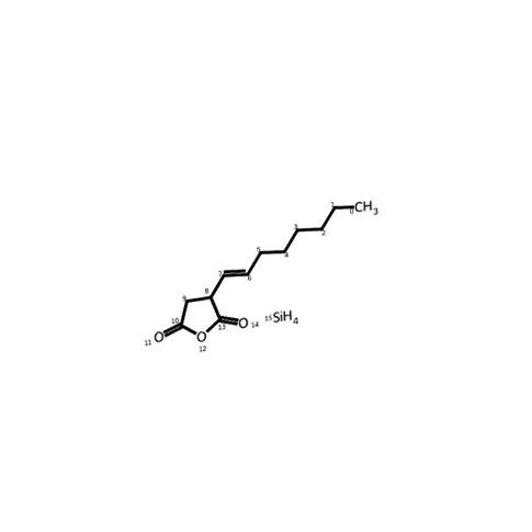 CCCCCCC=CC1CC(=O)OC1=O.[SiH4]